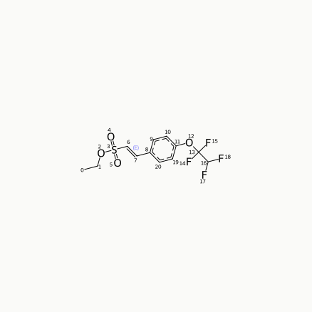 CCOS(=O)(=O)/C=C/c1ccc(OC(F)(F)C(F)F)cc1